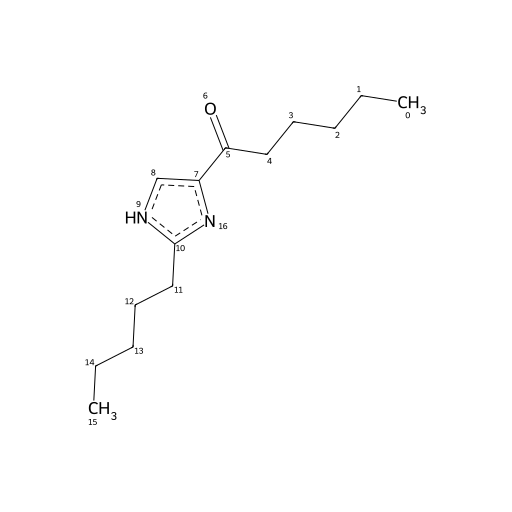 CCCCCC(=O)c1c[nH]c(CCCCC)n1